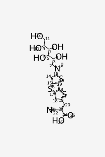 CN(CC(O)C(O)C(O)C(O)CO)c1cc2sc3cc(/C=C(\C#N)C(=O)O)sc3c2s1